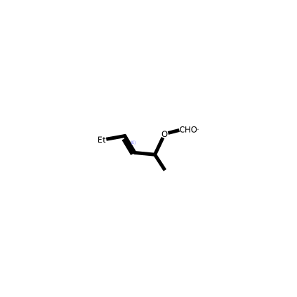 CC/C=C/C(C)O[C]=O